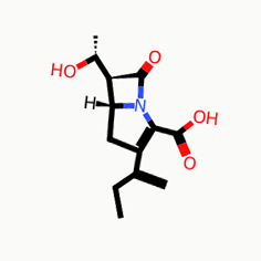 C=C(CC)C1=C(C(=O)O)N2C(=O)[C@H]([C@@H](C)O)[C@H]2C1